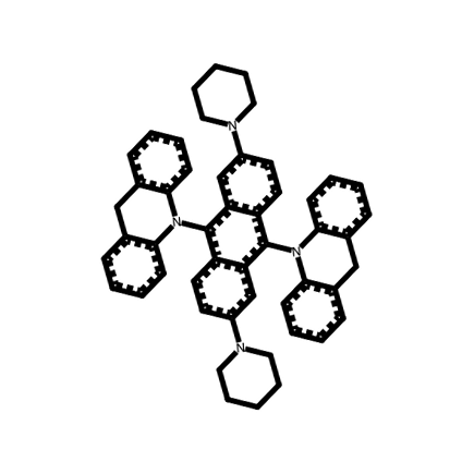 c1ccc2c(c1)Cc1ccccc1N2c1c2ccc(N3CCCCC3)cc2c(N2c3ccccc3Cc3ccccc32)c2ccc(N3CCCCC3)cc12